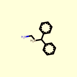 NC[SiH2]C(c1ccccc1)c1ccccc1